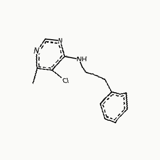 Cc1ncnc(NCCc2ccccc2)c1Cl